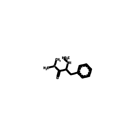 CN(C)C(=O)C(Cc1ccccc1)NC(=O)O